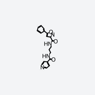 O=C(NCCCNC(=O)c1cc(-c2ccccc2)on1)c1ccncc1